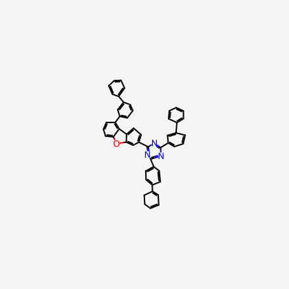 C1=CCCC(c2ccc(-c3nc(-c4cccc(-c5ccccc5)c4)nc(-c4ccc5c(c4)oc4cccc(-c6cccc(-c7ccccc7)c6)c45)n3)cc2)=C1